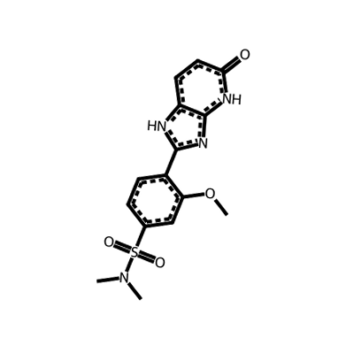 COc1cc(S(=O)(=O)N(C)C)ccc1-c1nc2[nH]c(=O)ccc2[nH]1